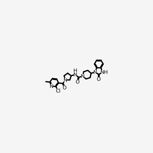 Cc1ccc(C(=O)N2CCC(NC(=O)N3CCC(n4c(=O)[nH]c5ccccc54)CC3)C2)c(Cl)n1